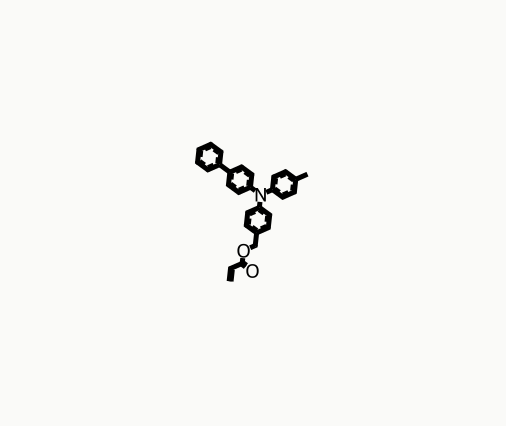 C=CC(=O)OCc1ccc(N(c2ccc(C)cc2)c2ccc(-c3ccccc3)cc2)cc1